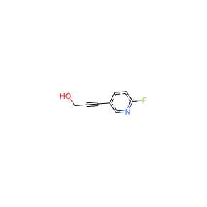 OCC#Cc1ccc(F)nc1